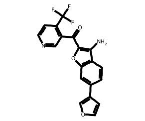 Nc1c(C(=O)c2cnccc2C(F)(F)F)oc2cc(-c3ccoc3)ccc12